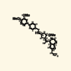 COc1cc(-c2ccc(CN[C@H]3C[C@H](OC)[C@@H](N(C)c4ncnc5sc(CC(F)(F)F)cc45)C3)cc2)nnc1OC